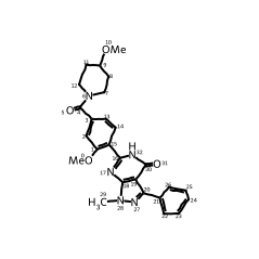 COc1cc(C(=O)N2CCC(OC)CC2)ccc1-c1nc2c(c(-c3ccccc3)nn2C)c(=O)[nH]1